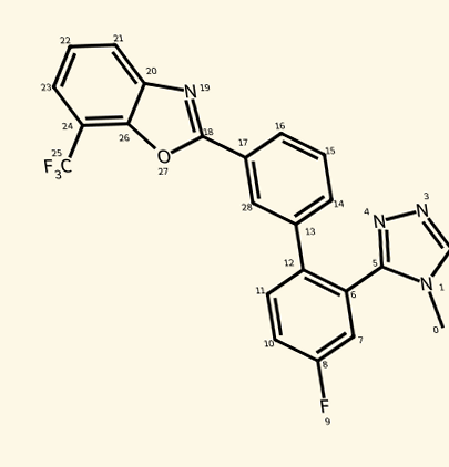 Cn1cnnc1-c1cc(F)ccc1-c1cccc(-c2nc3cccc(C(F)(F)F)c3o2)c1